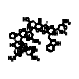 C[C@H](NC(=O)[C@H](Cc1c[nH]c2ccccc12)NC(=O)[C@@H](N)CC(N)=O)C(=O)N[C@@H](CC(=O)O)C(=O)N[C@@H](CC(N)=O)C(=O)N[C@@H](CCC(=O)O)C(=O)N1CCC[C@H]1C(=O)N[C@@H](CC(N)=O)C(=O)N[C@@H](CC(N)=O)C(N)=O